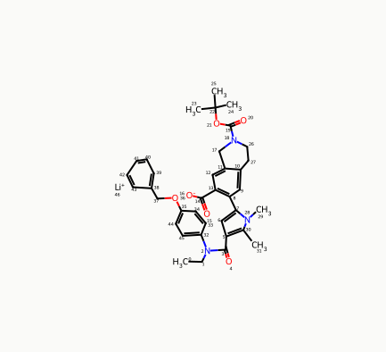 CCN(C(=O)c1cc(-c2cc3c(cc2C(=O)[O-])CN(C(=O)OC(C)(C)C)CC3)n(C)c1C)c1ccc(OCc2ccccc2)cc1.[Li+]